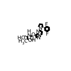 C[C@H](O)[C@@H](CO)NC(=O)Oc1cnn2ccc(N3CCC[C@@H]3c3cc(F)ccc3F)nc12